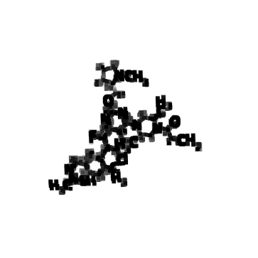 C=CC(=O)N1C[C@H](C)N(c2nc(OC[C@@H]3CCCN3C)nc3c(F)c(-c4cc(/C=N\N(C)S)ccc4C)c(Cl)cc23)C[C@H]1C